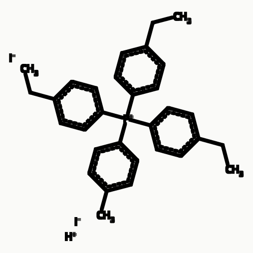 CCc1ccc([P+](c2ccc(C)cc2)(c2ccc(CC)cc2)c2ccc(CC)cc2)cc1.[H+].[I-].[I-]